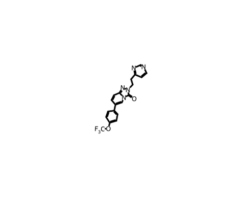 O=c1n(CCc2ccncn2)nc2ccc(-c3ccc(OC(F)(F)F)cc3)cn12